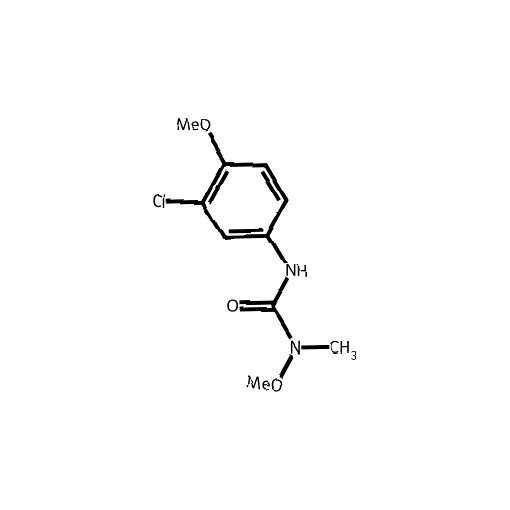 COc1ccc(NC(=O)N(C)OC)cc1Cl